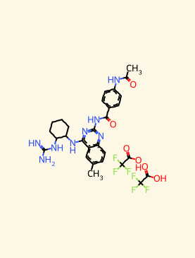 CC(=O)Nc1ccc(C(=O)Nc2nc(NC3CCCCC3NC(=N)N)c3cc(C)ccc3n2)cc1.O=C(O)C(F)(F)F.O=C(O)C(F)(F)F